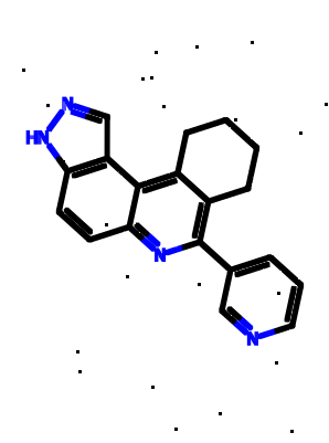 c1cncc(-c2nc3ccc4[nH]ncc4c3c3c2CCCC3)c1